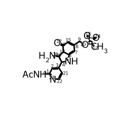 CC(=O)Nc1cc(C2NC3=CC(COS(C)(=O)=O)=CC(=O)C3C2N)ccn1